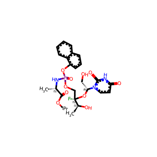 CC(C)OC(=O)[C@H](C)NP(=O)(OC[C@@](F)(O[C@H](CO)n1ccc(=O)[nH]c1=O)[C@H](C)O)Oc1cccc2ccccc12